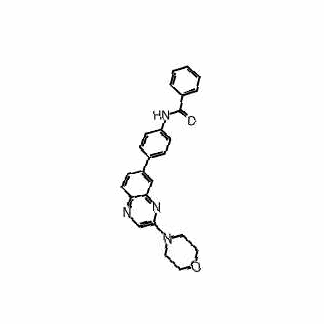 O=C(Nc1ccc(-c2ccc3ncc(N4CCOCC4)nc3c2)cc1)c1ccccc1